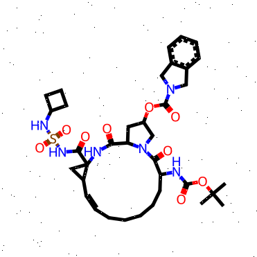 CC(C)(C)OC(=O)NC1CCCCCC=CC2CC2(C(=O)NS(=O)(=O)NC2CCC2)NC(=O)C2CC(OC(=O)N3Cc4ccccc4C3)CN2C1=O